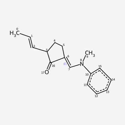 CC=CC1CC/C(=C\N(C)c2ccccc2)C1=O